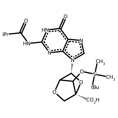 CC(C)C(=O)Nc1nc2c(ncn2[C@@H]2O[C@@]3(C(=O)O)COC2C3O[Si](C)(C)C(C)(C)C)c(=O)[nH]1